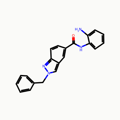 Nc1ccccc1NC(=O)c1ccc2nn(Cc3ccccc3)cc2c1